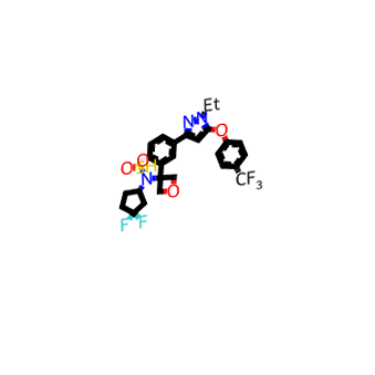 CCn1nc(-c2cccc(C3(N(C4CCC(F)(F)C4)[SH](=O)=O)COC3)c2)cc1Oc1ccc(C(F)(F)F)cc1